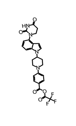 O=C1CCN(c2cccc3c2ccn3C2CCN(c3ccc(C(=O)OC(=O)C(F)(F)F)cc3)CC2)C(=O)N1